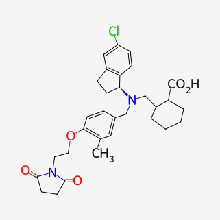 Cc1cc(CN(CC2CCCCC2C(=O)O)[C@H]2CCc3cc(Cl)ccc32)ccc1OCCN1C(=O)CCC1=O